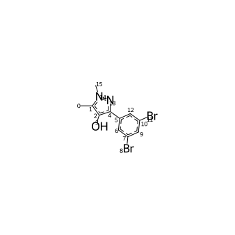 Cc1c(O)c(-c2cc(Br)cc(Br)c2)nn1C